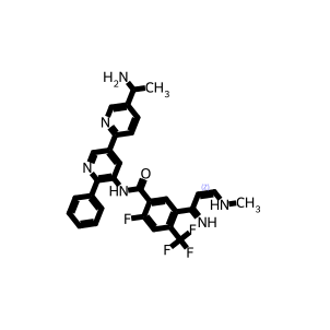 CN/C=C\C(=N)c1cc(C(=O)Nc2cc(-c3ccc(C(C)N)cn3)cnc2-c2ccccc2)c(F)cc1C(F)(F)F